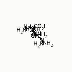 NC(N)=NCCC[C@H](NC(=O)[C@H](CO)NC(=O)[C@@H](N)CCCN=C(N)N)C(=O)O